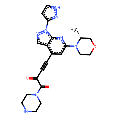 C[C@@H]1COCCN1c1cc(C#CC(=O)C(=O)N2CCNCC2)c2cnn(-c3cc[nH]n3)c2n1